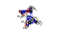 C#CCN1C(=O)COc2cc(F)c(/N=c3\snc4n3CC(C)(C)C4)cc21.CCNc1nc(Cl)nc(NC(C)C)n1.COc1cc(OC)nc(NC(=O)NS(=O)(=O)c2ncccc2C(=O)N(C)C)n1